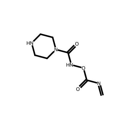 C=NC(=O)ONC(=O)N1CCNCC1